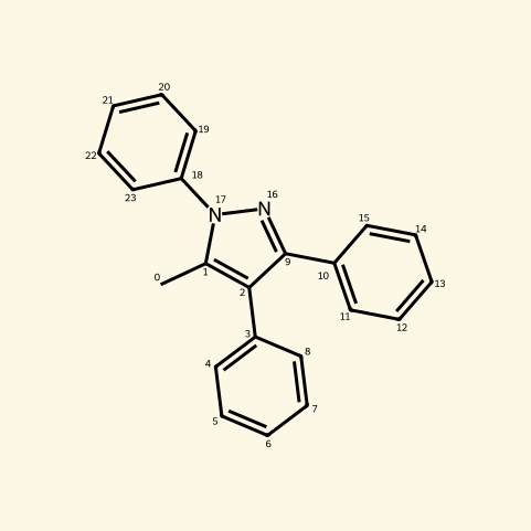 Cc1c(-c2ccccc2)c(-c2ccccc2)nn1-c1ccccc1